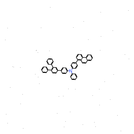 c1ccc(-c2ccc(-c3ccc(N(c4ccccc4)c4ccc(-c5cccc6c5ccc5ccccc56)cc4)cc3)cc2-c2ccccc2)cc1